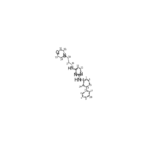 c1ccc(-c2cccc(Nc3nccc(NCCCN4CCOCC4)n3)c2)cc1